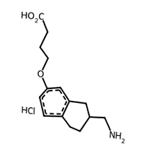 Cl.NCC1CCc2ccc(OCCCC(=O)O)cc2C1